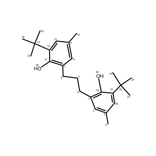 Cc1cc(CCCc2cc(C)cc(C(C)(C)C)c2O)c(O)c(C(C)(C)C)c1